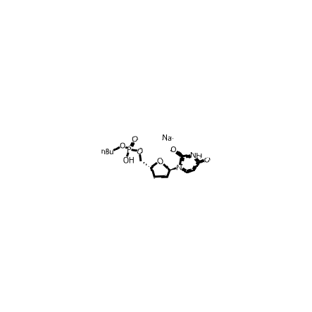 CCCCOP(=O)(O)OC[C@H]1CC[C@H](n2ccc(=O)[nH]c2=O)O1.[Na]